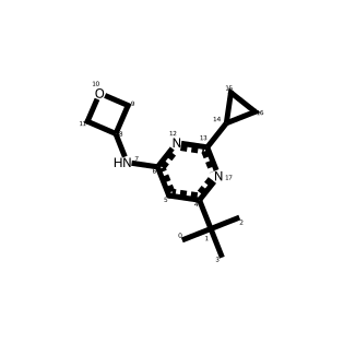 CC(C)(C)c1cc(NC2COC2)nc(C2CC2)n1